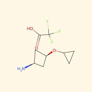 N[C@H]1C[C@@H](OC2CC2)C1.O=C(O)C(F)(F)F